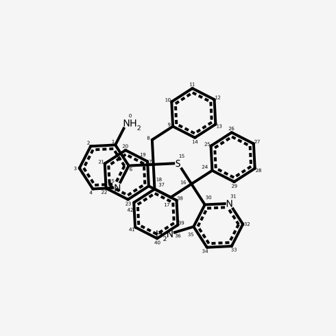 Nc1cccnc1C(Cc1ccccc1)(SC(Cc1ccccc1)(c1ccccc1)c1ncccc1N)c1ccccc1